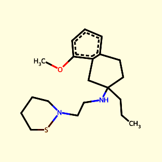 CCCC1(NCCN2CCCCS2)CCc2cccc(OC)c2C1